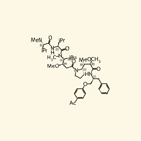 CC[C@H](C)[C@@H]([C@@H](CC(=O)N1CCC[C@H]1[C@H](OC)[C@@H](C)C(=O)N[C@H](COc1ccc(C(C)=O)cc1)Cc1ccccc1)OC)N(C)C(=O)[C@@H](NC(=O)[C@@H](NC)C(C)C)C(C)C